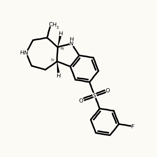 CC1CNCC[C@H]2c3cc(S(=O)(=O)c4cccc(F)c4)ccc3N[C@@H]12